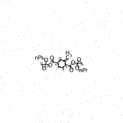 CCCOC1(OC(=O)c2ccc(C(=O)OC3(OCCC)CO3)c(C)c2)CO1